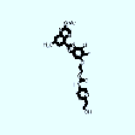 COc1cnc2c(-c3nc4c(Cl)c(F)c(OCCOC(=O)Nc5ccc(CCO)nc5)cc4s3)cc(C)cc2n1